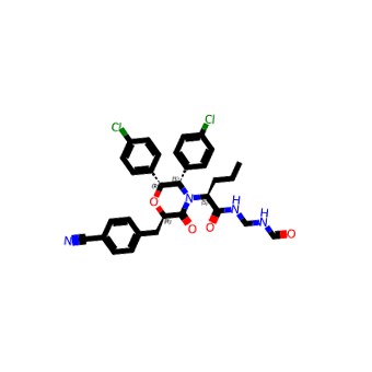 CCC[C@@H](C(=O)NCNC=O)N1C(=O)[C@@H](Cc2ccc(C#N)cc2)O[C@H](c2ccc(Cl)cc2)[C@@H]1c1ccc(Cl)cc1